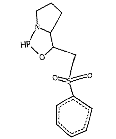 O=S(=O)(CC1OPN2CCCC12)c1ccccc1